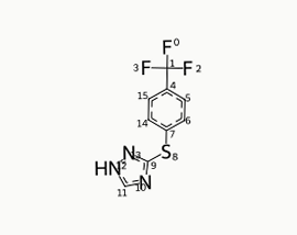 FC(F)(F)c1ccc(Sc2nc[nH]n2)cc1